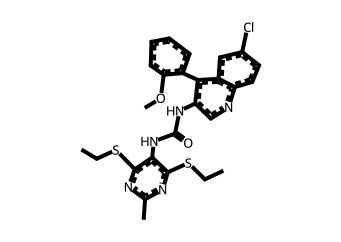 CCSc1nc(C)nc(SCC)c1NC(=O)Nc1cnc2ccc(Cl)cc2c1-c1ccccc1OC